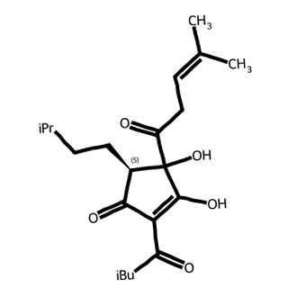 CCC(C)C(=O)C1=C(O)C(O)(C(=O)CC=C(C)C)[C@H](CCC(C)C)C1=O